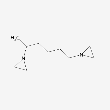 CC(CCCCN1CC1)N1CC1